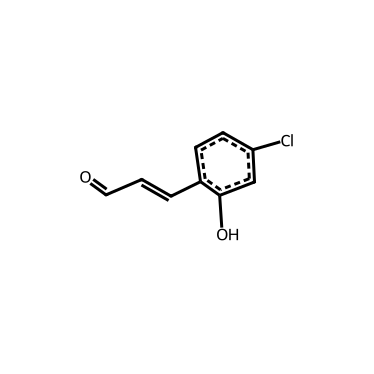 O=C/C=C/c1ccc(Cl)cc1O